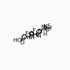 O=C(O)N1CCC[C@@H](Nc2nc(-c3cnc4cc(-c5nnc(C(F)(F)F)[nH]5)ccn34)c(F)cc2F)C1